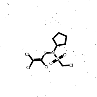 O=S(=O)(CCl)N(SC(Cl)=C(Cl)Cl)C1CCCC1